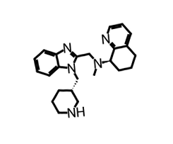 CN(Cc1nc2ccccc2n1C[C@H]1CCCNC1)[C@@H]1CCCc2cccnc21